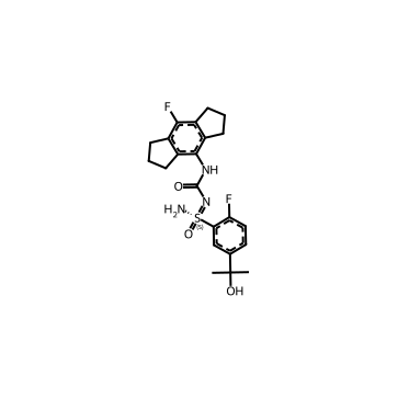 CC(C)(O)c1ccc(F)c([S@@](N)(=O)=NC(=O)Nc2c3c(c(F)c4c2CCC4)CCC3)c1